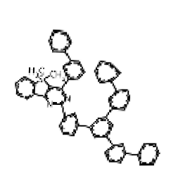 C[Si]1(C)c2ccccc2-c2nc(-c3cccc(-c4cc(-c5cccc(-c6ccccc6)c5)cc(-c5cccc(-c6ccccc6)c5)c4)c3)nc(-c3cccc(-c4ccccc4)c3)c21